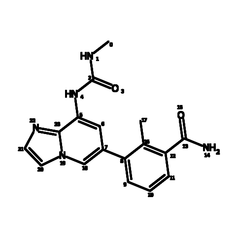 CNC(=O)Nc1cc(-c2cccc(C(N)=O)c2C)cn2ccnc12